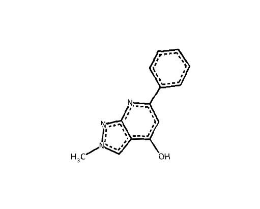 Cn1cc2c(O)cc(-c3ccccc3)nc2n1